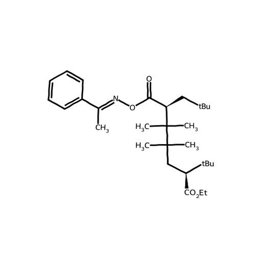 CCOC(=O)[C@@H](CC(C)(C)C(C)(C)[C@H](CC(C)(C)C)C(=O)ON=C(C)c1ccccc1)C(C)(C)C